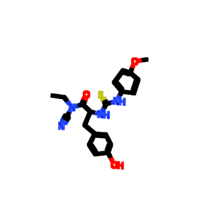 CCN(C#N)C(=O)C(Cc1ccc(O)cc1)NC(=S)Nc1ccc(OC)cc1